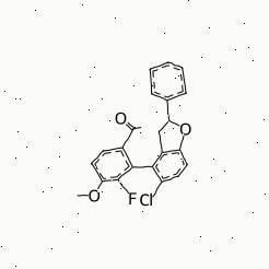 COc1ccc(C(C)=O)c(-c2c(Cl)ccc3c2CC(c2ccccc2)O3)c1F